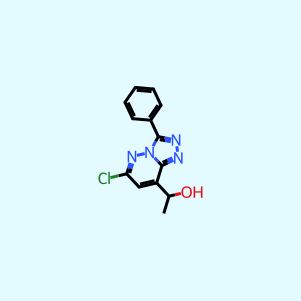 CC(O)c1cc(Cl)nn2c(-c3ccccc3)nnc12